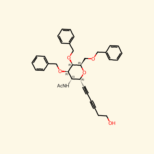 CC(=O)N[C@@H]1[C@@H](OCc2ccccc2)[C@@H](OCc2ccccc2)[C@@H](COCc2ccccc2)O[C@@H]1C#CC#CCCO